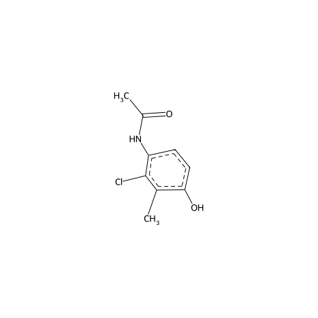 CC(=O)Nc1ccc(O)c(C)c1Cl